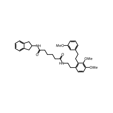 COc1cccc(CCc2c(CCNC(=O)CCCCC(=O)NC3Cc4ccccc4C3)ccc(OC)c2OC)c1